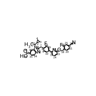 CC(C1CC1)n1c(Cc2ccc(-c3cccc(OCc4ccc(C#N)cc4F)n3)cc2F)nc2ccc(C(=O)O)cc21